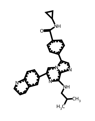 CC(C)CNc1nc(-c2ccc3ncccc3c2)cn2c(-c3ccc(C(=O)NC4CC4)cc3)cnc12